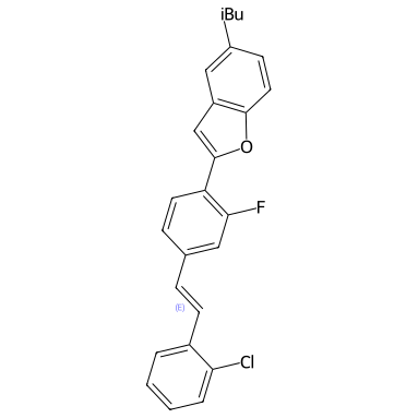 CCC(C)c1ccc2oc(-c3ccc(/C=C/c4ccccc4Cl)cc3F)cc2c1